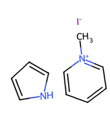 C[n+]1ccccc1.[I-].c1cc[nH]c1